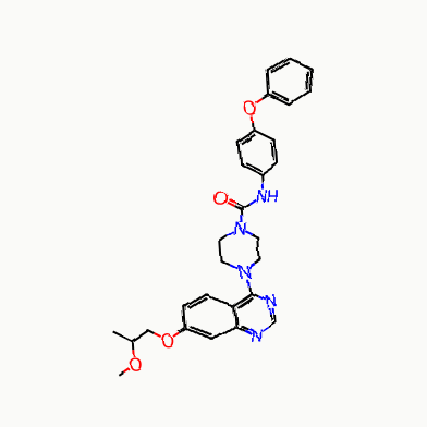 COC(C)COc1ccc2c(N3CCN(C(=O)Nc4ccc(Oc5ccccc5)cc4)CC3)ncnc2c1